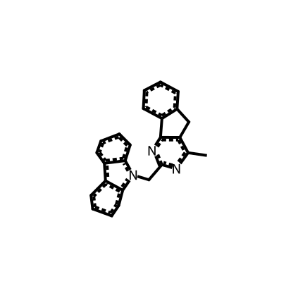 Cc1nc(Cn2c3ccccc3c3ccccc32)nc2c1Cc1ccccc1-2